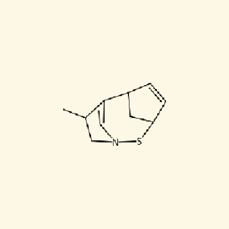 CC1CN2C=C1C1C=CC(C1)S2